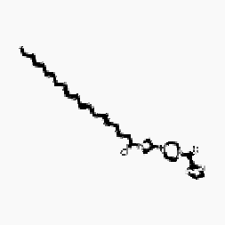 CCCCCC=CCC=CCC=CCC=CCCCC(=O)N1CC(N2CCN(C(=O)c3nccs3)CC2)C1